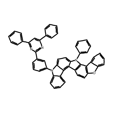 c1ccc(-c2cc(-c3ccccc3)nc(-c3cccc(-n4c5ccccc5c5c6c7ccc8oc9ccccc9c8c7n(-c7ccccc7)c6ccc54)c3)n2)cc1